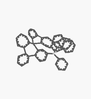 c1ccc(N(c2ccc3c(c2)C2(c4ccccc4-c4ccccc4-3)c3ccccc3-c3cc4c(cc32)sc2ccccc24)c2cccc3ccccc23)cc1